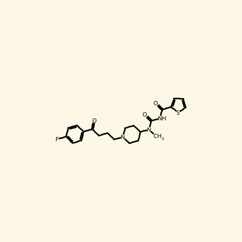 CN(C(=O)NC(=O)c1cccs1)C1CCN(CCCC(=O)c2ccc(F)cc2)CC1